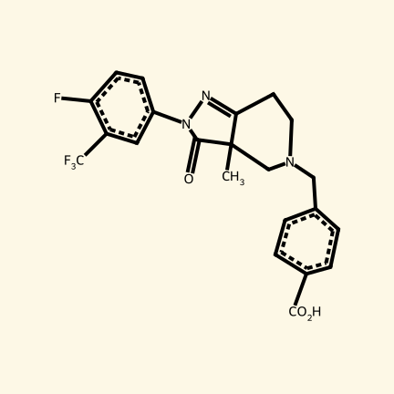 CC12CN(Cc3ccc(C(=O)O)cc3)CCC1=NN(c1ccc(F)c(C(F)(F)F)c1)C2=O